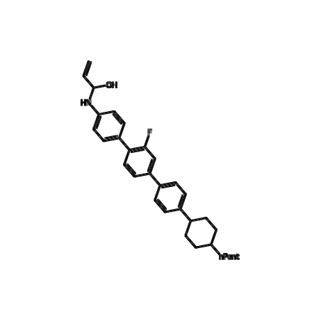 C=CC(O)Nc1ccc(-c2ccc(-c3ccc(C4CCC(CCCCC)CC4)cc3)cc2F)cc1